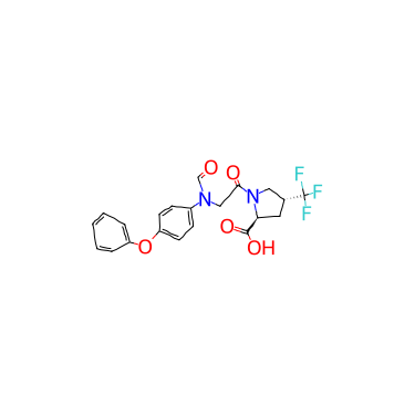 O=CN(CC(=O)N1C[C@H](C(F)(F)F)C[C@H]1C(=O)O)c1ccc(Oc2ccccc2)cc1